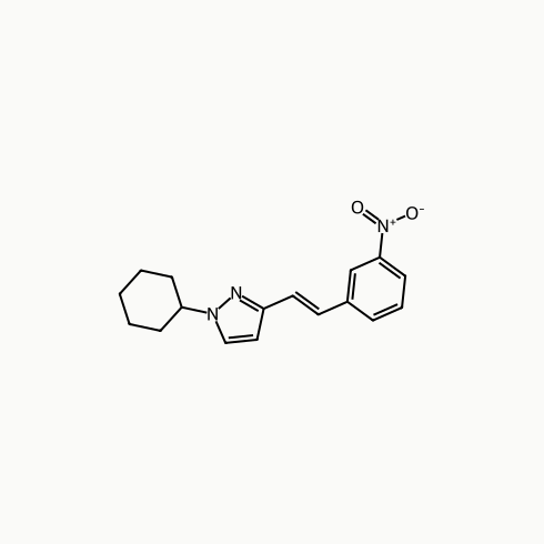 O=[N+]([O-])c1cccc(/C=C/c2ccn(C3CCCCC3)n2)c1